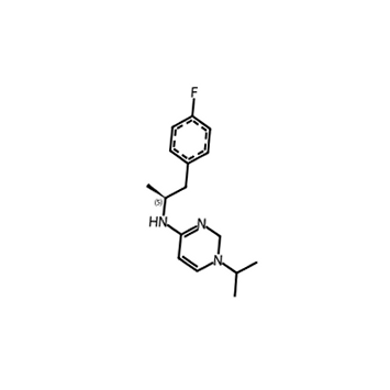 CC(C)N1C=CC(N[C@@H](C)Cc2ccc(F)cc2)=NC1